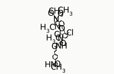 CNC(=O)c1ccc(/C=C/C(=O)NCC(=O)N(C)c2ccc(Cl)c(COc3cccc4c(N(CCOC)CCOC)cc(C)nc34)c2Cl)cc1